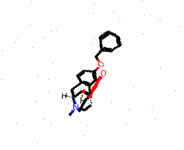 CN1CC[C@@]23CC(=O)CC[C@@H]2[C@@H]1Cc1ccc(OCc2ccccc2)cc13